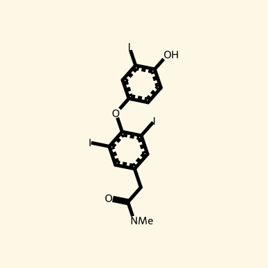 CNC(=O)Cc1cc(I)c(Oc2ccc(O)c(I)c2)c(I)c1